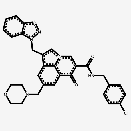 O=C(NCc1ccc(Cl)cc1)c1cn2cc(Cn3nnc4ccccc43)c3cc(CN4CCOCC4)cc(c1=O)c32